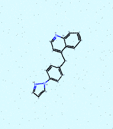 c1ccc2c(Cc3ccc(-n4cccn4)cc3)ccnc2c1